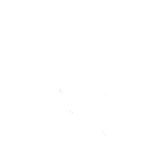 Clc1ccncc1-c1cc(-c2ccc(-c3ccccc3)cc2)nc(-c2ccccc2)n1